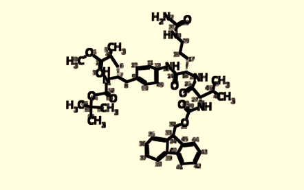 COC(=O)[C@@H](C)C[C@H](Cc1ccc(NC(=O)[C@H](CCCNC(N)=O)NC(=O)[C@@H](NC(=O)OCC2c3ccccc3-c3ccccc32)C(C)C)cc1)NC(=O)OC(C)(C)C